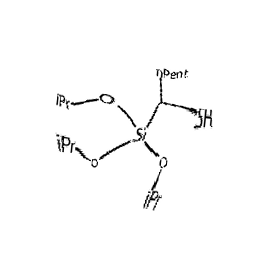 CCCCCC(S)[Si](OC(C)C)(OC(C)C)OC(C)C